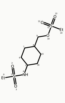 CCS(=O)(=O)NC1CCC(COS(=O)(=O)CC)CC1